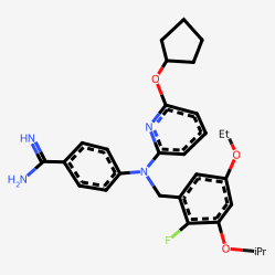 CCOc1cc(CN(c2ccc(C(=N)N)cc2)c2cccc(OC3CCCC3)n2)c(F)c(OC(C)C)c1